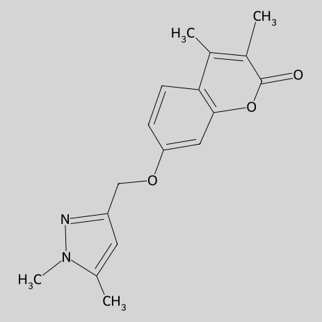 Cc1c(C)c2ccc(OCc3cc(C)n(C)n3)cc2oc1=O